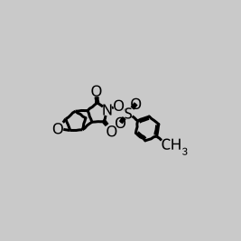 Cc1ccc(S(=O)(=O)ON2C(=O)C3C4CC(C5OC45)C3C2=O)cc1